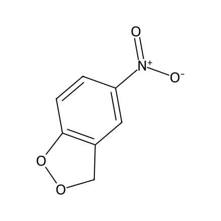 O=[N+]([O-])c1ccc2c(c1)COO2